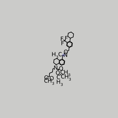 COC(=O)CCCN(C(=O)OC(C)(C)C)C1CCCc2c(/C(C)=N/OCc3ccc(C4CCCCC4)c(C(F)(F)F)c3)cccc21